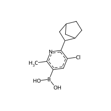 Cc1nc(C2CC3CCC2C3)c(Cl)cc1B(O)O